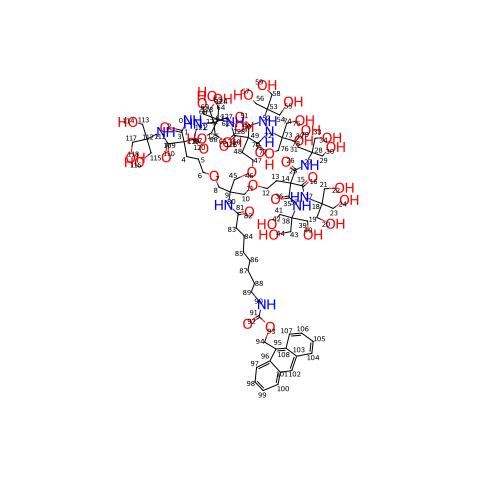 NC(=O)C(CCCOCC(COCCC(C(=O)NC(CO)(CO)CO)(C(=O)NC(CO)(CO)CO)C(=O)NC(CO)(CO)CO)(COCCC(C(=O)NC(CO)(CO)CO)(C(=O)NC(CO)(CO)CO)C(=O)NC(CO)(CO)CO)NC(=O)CCCCCCCNC(=O)OCc1c2ccccc2cc2ccccc12)(C(=O)NC(CO)(CO)CO)C(=O)NC(CO)(CO)CO